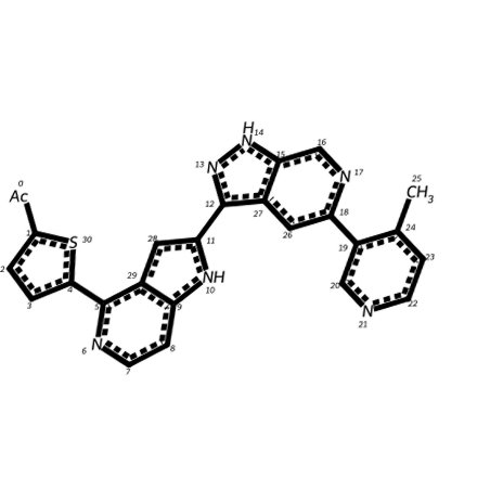 CC(=O)c1ccc(-c2nccc3[nH]c(-c4n[nH]c5cnc(-c6cnccc6C)cc45)cc23)s1